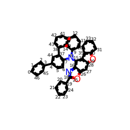 c1ccc(-c2ccc(N(c3ccccc3)c3c4nc(-c5ccccc5)oc4cc4oc5ccccc5c34)c(-c3ccccc3)c2)cc1